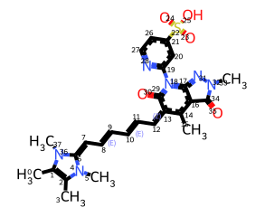 CC1=C(C)N(C)C(=C/C=C/C=C/C=c2/c(C)c3c(n(-c4cc(S(=O)(=O)O)ccn4)c2=O)=NN(C)C3=O)N1C